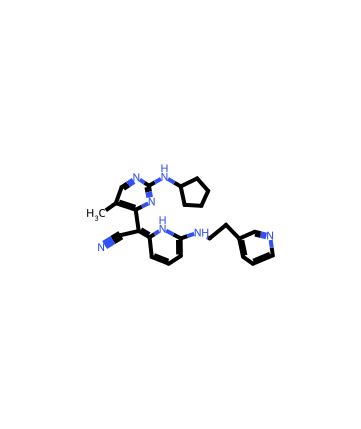 Cc1cnc(NC2CCCC2)nc1/C(C#N)=C1/C=CC=C(NCCc2cccnc2)N1